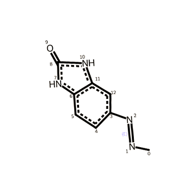 C/N=N/c1ccc2[nH]c(=O)[nH]c2c1